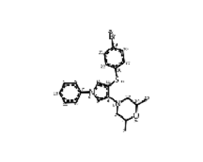 CC1CN(c2cn(-c3ccccc3)cc2Sc2ccc(Br)cc2)CC(C)O1